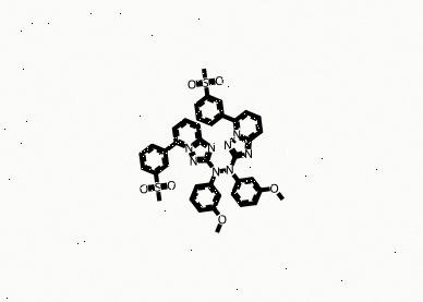 COc1cccc(N(c2nc3cccc(-c4cccc(S(C)(=O)=O)c4)n3n2)N(c2cccc(OC)c2)c2nc3cccc(-c4cccc(S(C)(=O)=O)c4)n3n2)c1